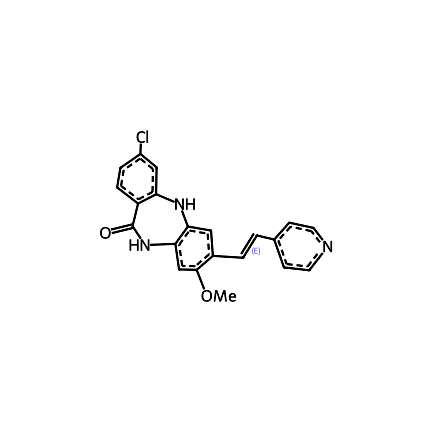 COc1cc2c(cc1/C=C/c1ccncc1)Nc1cc(Cl)ccc1C(=O)N2